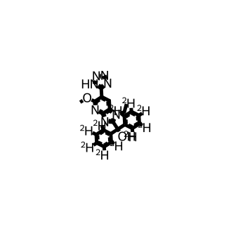 [2H]c1c([2H])c([2H])c(C(O)(c2c([2H])c([2H])c([2H])c([2H])c2[2H])c2nc3nc(OC)c(-c4nnn[nH]4)cc3n2CC)c([2H])c1[2H]